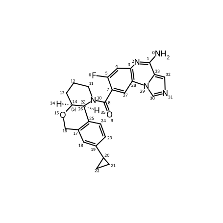 Nc1nc2cc(F)c(C(=O)N3CCC[C@@H]4OCc5cc(C6CC6)ccc5[C@@H]43)cc2n2cncc12